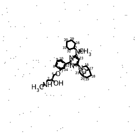 CNCC(O)COc1cccc(-c2nc(N3CC4CCC(C3)O4)cc(N(C)C3CCCCC3)n2)c1